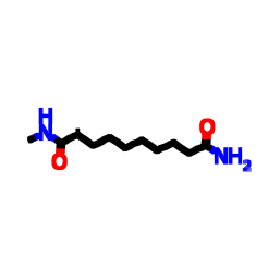 CNC(=O)[CH]CCCCCCCC(N)=O